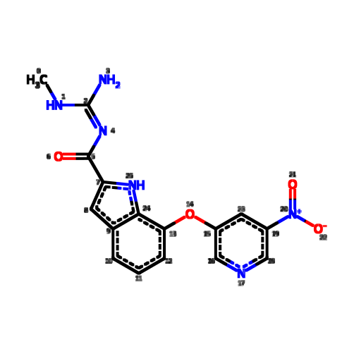 CNC(N)=NC(=O)c1cc2cccc(Oc3cncc([N+](=O)[O-])c3)c2[nH]1